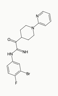 N=C(Nc1ccc(F)c(Br)c1)C(=O)C1CCN(c2ccccn2)CC1